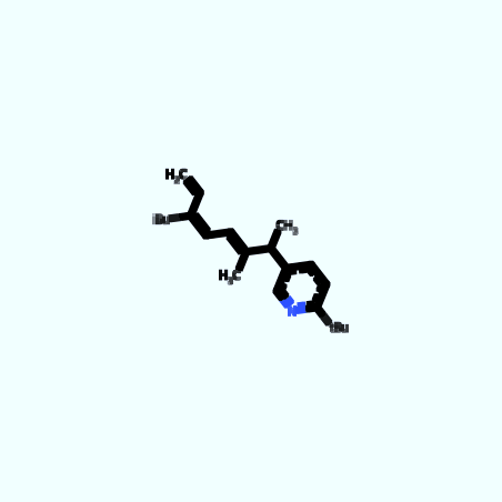 C=C/C(=C\C=C(/C)C(C)c1ccc(C(C)(C)C)nc1)C(C)CC